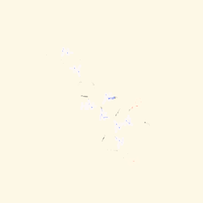 C=CCn1c(=O)c2cnc(Nc3ccc(N4CCN(C)[C@@H](C)C4)cc3)nc2n1-c1ccc2c(n1)[C@](C)(O)CC2